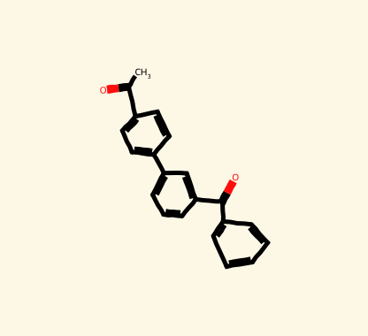 CC(=O)c1ccc(-c2cccc(C(=O)c3ccccc3)c2)cc1